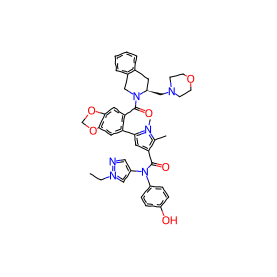 CCn1cc(N(C(=O)c2cc(-c3cc4c(cc3C(=O)N3Cc5ccccc5C[C@H]3CN3CCOCC3)OCO4)n(C)c2C)c2ccc(O)cc2)cn1